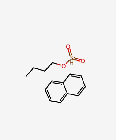 CCCCO[SH](=O)=O.c1ccc2ccccc2c1